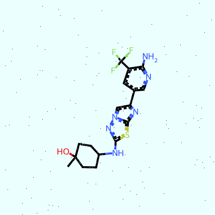 CC1(O)CCC(Nc2nn3cc(-c4cnc(N)c(C(F)(F)F)c4)nc3s2)CC1